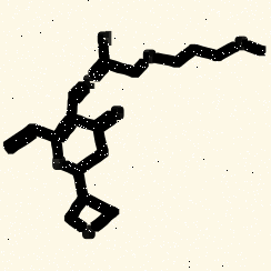 C=CC1=C(C=C=C(Cl)COCCCOC)C(=O)CC(C2COC2)O1